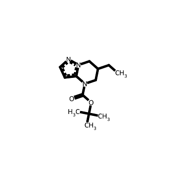 CCC1CN(C(=O)OC(C)(C)C)c2ccnn2C1